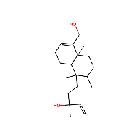 C=CC(C)(O)CCC1(C)C(C)CCC2(C)C(CO)=CCCC21